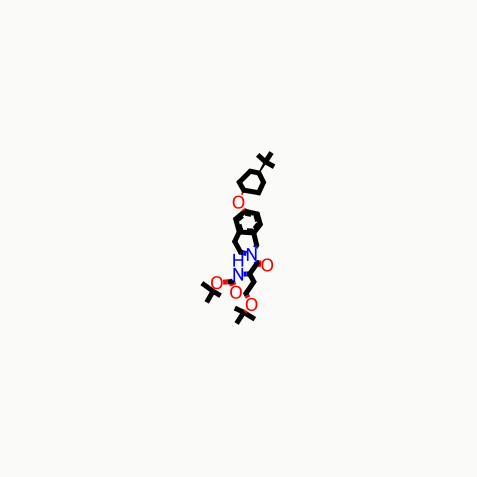 CC(C)(C)OCCC(NC(=O)OC(C)(C)C)C(=O)N1CCc2cc(O[C@H]3CC[C@H](C(C)(C)C)CC3)ccc2C1